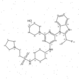 Cl.O=S(=O)(CCN1CCCC1)NC1CCC(Nc2cc(-n3c(C(F)F)nc4ccccc43)nc(N3CCOCC3)n2)CC1